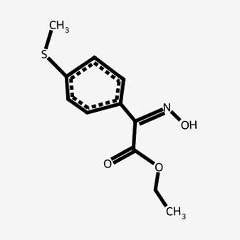 CCOC(=O)C(=NO)c1ccc(SC)cc1